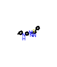 Cc1cccc(Nc2ccc(Nc3ncnc4cc(-c5ccccc5)sc34)cc2)c1